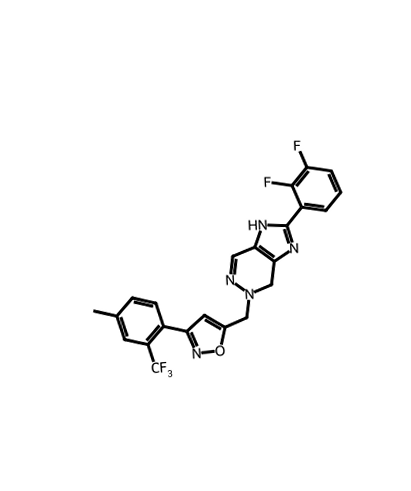 Cc1ccc(-c2cc(CN3Cc4nc(-c5cccc(F)c5F)[nH]c4C=N3)on2)c(C(F)(F)F)c1